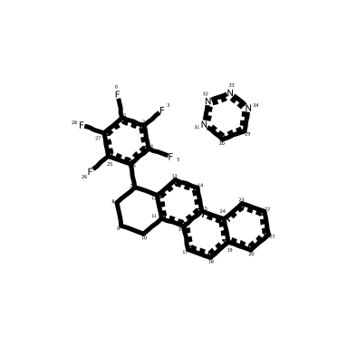 Fc1c(F)c(F)c(C2CCCc3c2ccc2c3ccc3ccccc32)c(F)c1F.c1cnnnn1